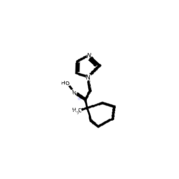 CC1(/C(Cn2ccnc2)=N/O)CCCCC1